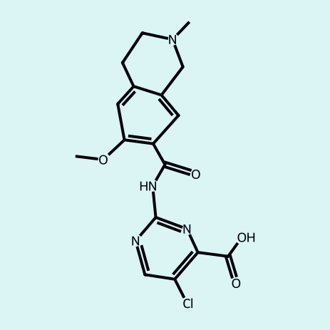 COc1cc2c(cc1C(=O)Nc1ncc(Cl)c(C(=O)O)n1)CN(C)CC2